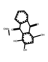 COC.O=C1c2ccccc2C(=O)c2c(O)c(O)cc(O)c21